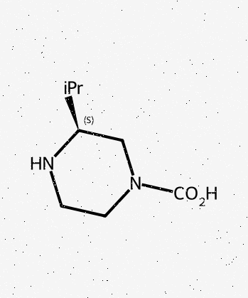 CC(C)[C@H]1CN(C(=O)O)CCN1